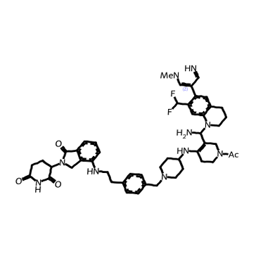 CN/C=C(\C=N)c1cc2c(cc1C(F)F)N(C(N)C1=C(NC3CCN(Cc4ccc(CCNc5cccc6c5CN(C5CCC(=O)NC5=O)C6=O)cc4)CC3)CCN(C(C)=O)C1)CCC2